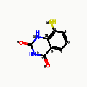 O=c1[nH]c(=O)c2cccc(S)c2[nH]1